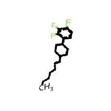 CCCCCCCC1CCC(c2ccc(F)c(F)c2F)CC1